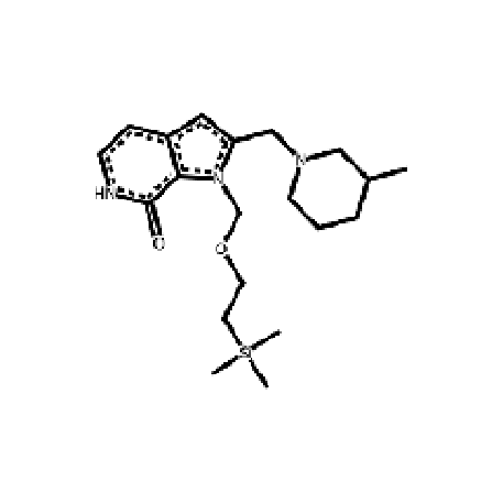 CC1CCCN(Cc2cc3cc[nH]c(=O)c3n2COCC[Si](C)(C)C)C1